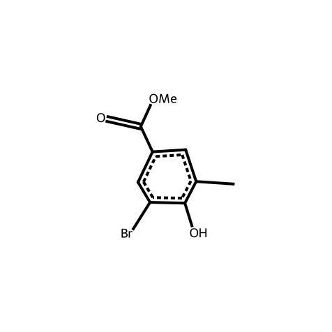 COC(=O)c1cc(C)c(O)c(Br)c1